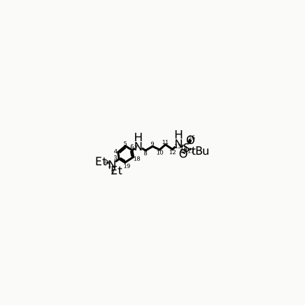 CCN(CC)c1ccc(NCCCCCNS(=O)(=O)C(C)(C)C)cc1